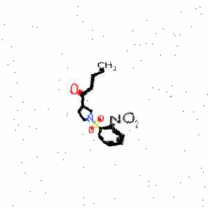 C=CCCC(=O)C1CCN(S(=O)(=O)c2ccccc2[N+](=O)[O-])C1